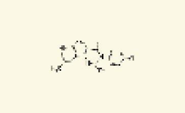 CC1CNc2ccc3c(=O)n(-c4ccc(Cl)cc4)c(C(C)C)nc3c2C1